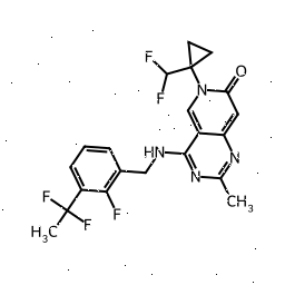 Cc1nc(NCc2cccc(C(C)(F)F)c2F)c2cn(C3(C(F)F)CC3)c(=O)cc2n1